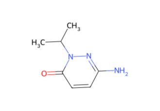 CC(C)n1nc(N)ccc1=O